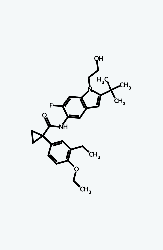 CCOc1ccc(C2(C(=O)Nc3cc4cc(C(C)(C)C)n(CCO)c4cc3F)CC2)cc1CC